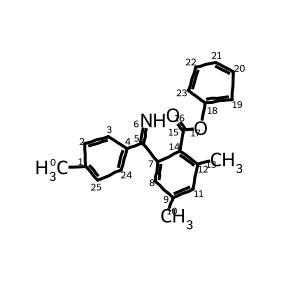 Cc1ccc(C(=N)c2cc(C)cc(C)c2C(=O)Oc2ccccc2)cc1